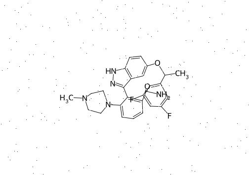 CC(Oc1ccc2[nH]nc(-c3c(C(N)=O)cccc3N3CCN(C)CC3)c2c1)c1cc(F)cc(F)c1